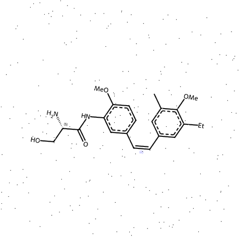 CCc1cc(/C=C\c2ccc(OC)c(NC(=O)[C@@H](N)CO)c2)cc(C)c1OC